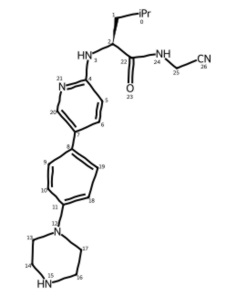 CC(C)C[C@H](Nc1ccc(-c2ccc(N3CCNCC3)cc2)cn1)C(=O)NCC#N